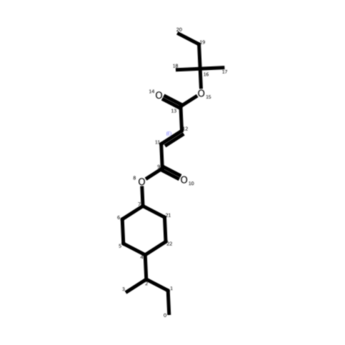 CCC(C)C1CCC(OC(=O)/C=C/C(=O)OC(C)(C)CC)CC1